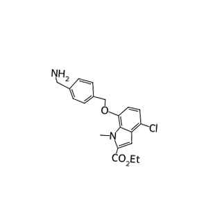 CCOC(=O)c1cc2c(Cl)ccc(OCc3ccc(CN)cc3)c2n1C